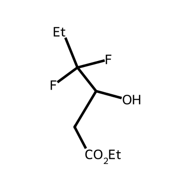 CCOC(=O)CC(O)C(F)(F)CC